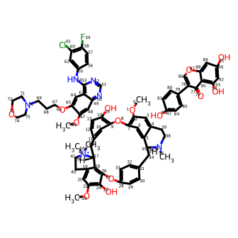 COc1cc2c3cc1Oc1cc(ccc1O)C[C@@H]1c4c(cc(OC)c(O)c4Oc4ccc(cc4)C[C@@H]3N(C)CC2)CC[N+]1(C)C.COc1cc2ncnc(Nc3ccc(F)c(Cl)c3)c2cc1OCCCN1CCOCC1.O=c1c(-c2ccc(O)cc2)coc2cc(O)cc(O)c12